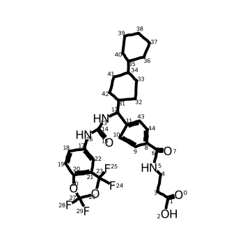 O=C(O)CCNC(=O)c1ccc(C(NC(=O)Nc2ccc3c(c2)C(F)(F)OC(F)(F)O3)C2CCC(C3CCCCC3)CC2)cc1